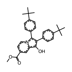 COC(=O)c1ccn2c(-c3ccc(C(C)(C)C)cc3)c(-c3ccc(C(C)(C)C)cc3)c(O)c2c1